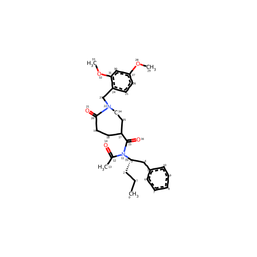 CCC[C@@H](Cc1ccccc1)N(C(C)=O)C(=O)C1CCC(=O)N(Cc2ccc(OC)cc2OC)CC1